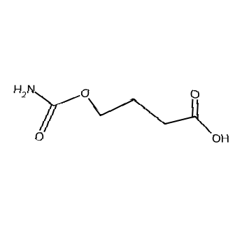 NC(=O)OCCCC(=O)O